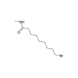 CNC(=O)CCCCCCCCBr